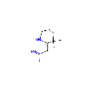 CC(=N)/C=C1\NCCCC1(C)F